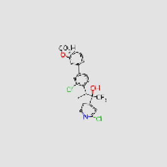 CC(c1ccc(-c2cccc(OC(=O)O)c2)cc1Cl)C(O)(c1ccnc(Cl)c1)C(F)(F)F